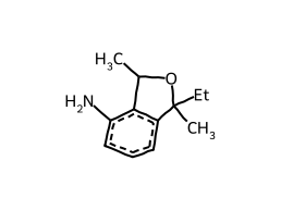 CCC1(C)OC(C)c2c(N)cccc21